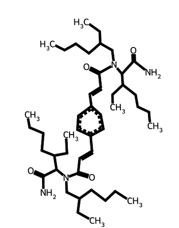 CCCCC(CC)CN(C(=O)C=Cc1ccc(C=CC(=O)N(CC(CC)CCCC)C(C(N)=O)C(CC)CCCC)cc1)C(C(N)=O)C(CC)CCCC